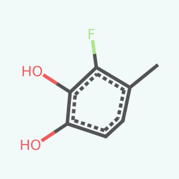 Cc1ccc(O)c(O)c1F